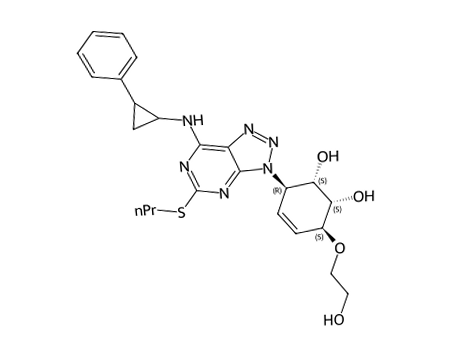 CCCSc1nc(NC2CC2c2ccccc2)c2nnn([C@@H]3C=C[C@H](OCCO)[C@@H](O)[C@H]3O)c2n1